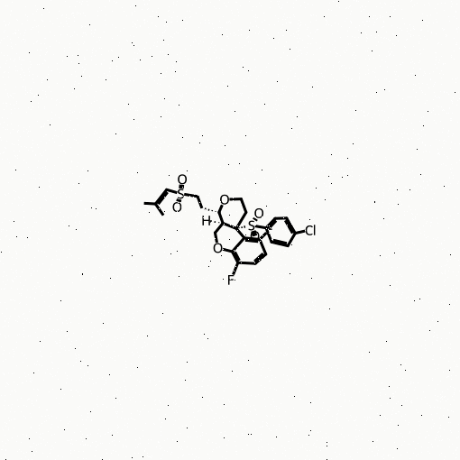 CC(C)=CS(=O)(=O)CC[C@@H]1OCC[C@@]2(S(=O)(=O)c3ccc(Cl)cc3)c3c(F)ccc(F)c3OC[C@@H]12